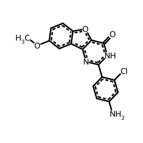 COc1ccc2oc3c(=O)[nH]c(-c4ccc(N)cc4Cl)nc3c2c1